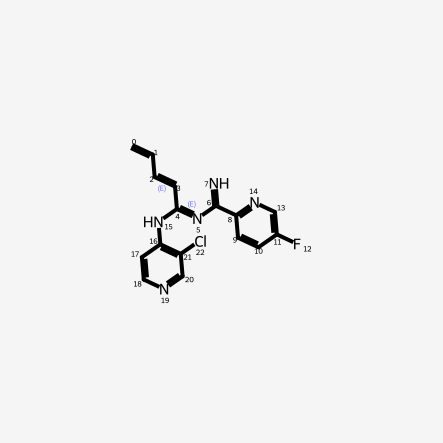 C=C/C=C/C(=N\C(=N)c1ccc(F)cn1)Nc1ccncc1Cl